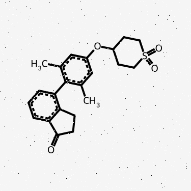 Cc1cc(OC2CCS(=O)(=O)CC2)cc(C)c1-c1cccc2c1CCC2=O